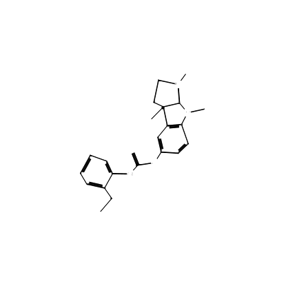 CCc1ccccc1NC(=O)Oc1ccc2c(c1)C1(C)CCN(C)C1N2C